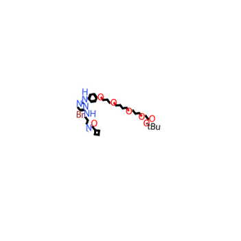 CN(CCCNc1nc(Nc2ccc(OCCCOCCCCOCCCOCC(=O)OC(C)(C)C)cc2)ncc1Br)C(=O)C1CCC1